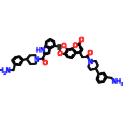 NCc1cccc(C2CCN(C(=O)Cc3cc(=O)oc4c5c(ccc34)OB(c3cccc4[nH]c(C(=O)N6CCC(c7cccc(CN)c7)CC6)cc34)O5)CC2)c1